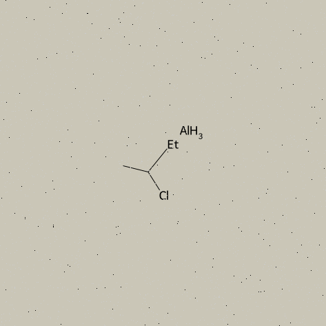 CCC(C)Cl.[AlH3]